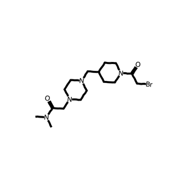 CN(C)C(=O)CN1CCN(CC2CCN(C(=O)CBr)CC2)CC1